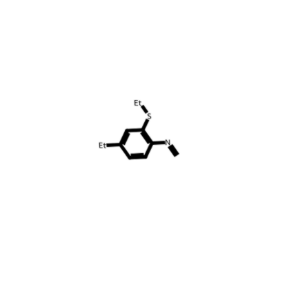 C=Nc1ccc(CC)cc1SCC